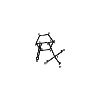 O=C1C2CCN(CC2)C1C(F)(F)F